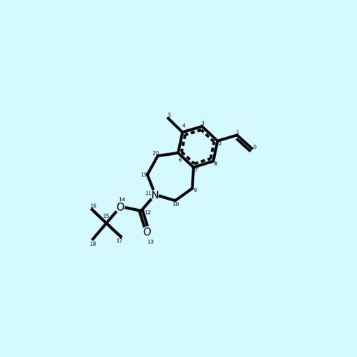 C=Cc1cc(C)c2c(c1)CCN(C(=O)OC(C)(C)C)CC2